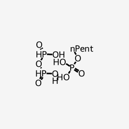 CCCCCOP(=O)(O)O.O=[PH](O)O[PH](=O)O